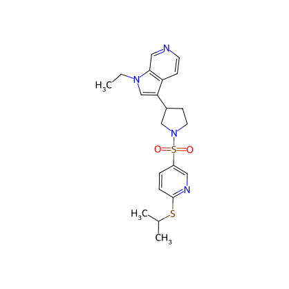 CCn1cc(C2CCN(S(=O)(=O)c3ccc(SC(C)C)nc3)C2)c2ccncc21